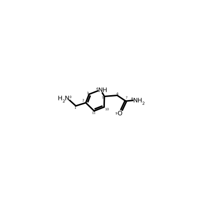 NCC1=CNC(CC(N)=O)C=C1